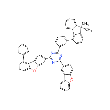 CC1(C)c2ccccc2-c2c(-c3cccc(-c4nc(-c5ccc6c(c5)oc5cccc(-c7ccccc7)c56)nc(-c5ccc6oc7ccccc7c6c5)n4)c3)cccc21